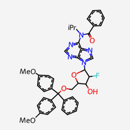 COc1ccc(C(OCC2OC(n3cnc4c(N(C(=O)c5ccccc5)C(C)C)ncnc43)C(F)C2O)(c2ccccc2)c2ccc(OC)cc2)cc1